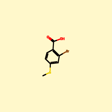 CSc1ccc(C(=O)O)c(Br)c1